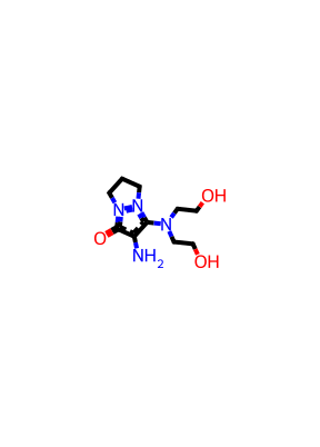 Nc1c(N(CCO)CCO)n2n(c1=O)CCC2